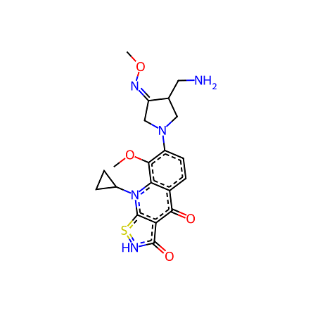 CON=C1CN(c2ccc3c(=O)c4c(=O)[nH]sc4n(C4CC4)c3c2OC)CC1CN